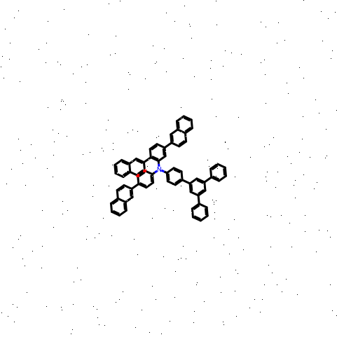 c1ccc(-c2cc(-c3ccccc3)cc(-c3ccc(N(c4ccc(-c5ccc6ccccc6c5)cc4)c4cc(-c5ccc6ccccc6c5)ccc4-c4ccc5ccccc5c4)cc3)c2)cc1